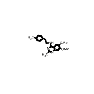 COc1cc2nc(C)nc(NCCc3ccc(C)cc3)c2cc1OC